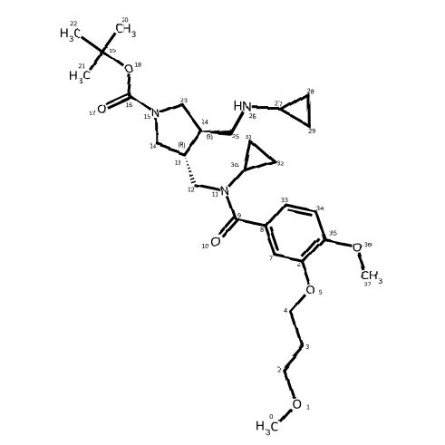 COCCCOc1cc(C(=O)N(C[C@@H]2CN(C(=O)OC(C)(C)C)C[C@H]2CNC2CC2)C2CC2)ccc1OC